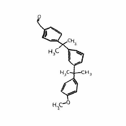 COc1ccc(C(C)(C)c2cccc(C(C)(C)c3ccc(C=O)cc3)c2)cc1